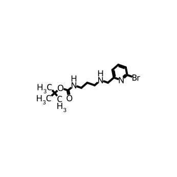 CC(C)(C)OC(=O)NCCCNCc1cccc(Br)n1